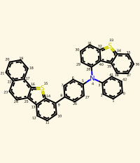 c1ccc(N(c2ccc(-c3cccc4c3sc3c5ccccc5ccc43)cc2)c2cccc3sc4ccccc4c23)cc1